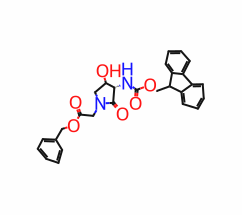 O=C(CN1CC(O)[C@H](NC(=O)OCC2c3ccccc3-c3ccccc32)C1=O)OCc1ccccc1